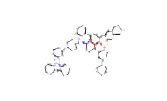 c1ccc(-c2cccc(-c3ccc(N(c4ccc(-c5cccc(-n6c7ccccc7c7ccccc76)c5)cc4)c4ccccc4-c4ccc5oc6cc7ccccc7cc6c5c4)cc3)c2)cc1